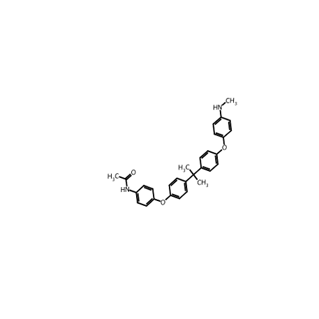 CNc1ccc(Oc2ccc(C(C)(C)c3ccc(Oc4ccc(NC(C)=O)cc4)cc3)cc2)cc1